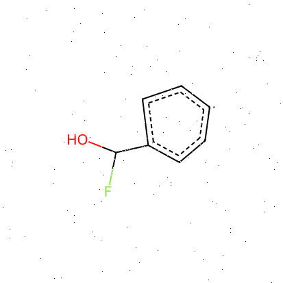 OC(F)c1cc[c]cc1